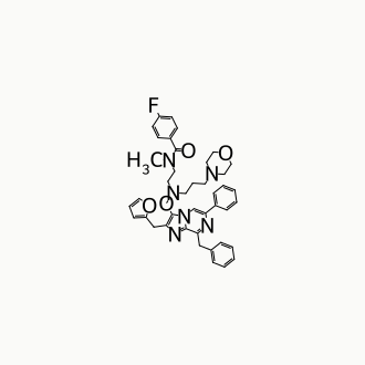 CN(CCN(CCCN1CCOCC1)Oc1c(Cc2ccco2)nc2c(Cc3ccccc3)nc(-c3ccccc3)cn12)C(=O)c1ccc(F)cc1